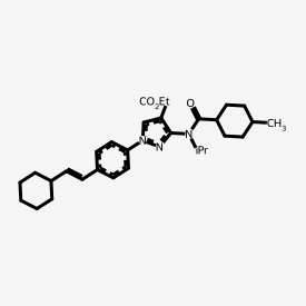 CCOC(=O)c1cn(-c2ccc(C=CC3CCCCC3)cc2)nc1N(C(=O)C1CCC(C)CC1)C(C)C